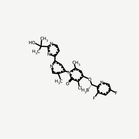 B[C@H](Oc1cc(C)n(-c2cc(-c3ccnc(C(C)(C)O)n3)ncc2C)c(=O)c1Cl)c1ncc(F)cc1F